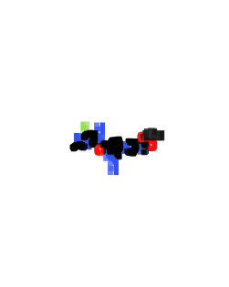 Cc1cn2cc(NC(=O)c3ccc(N4CCC(N(C)C(=O)OC(C)(C)C)CC4)c4c[nH]nc34)cc(F)c2n1